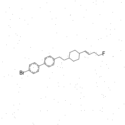 FCCC=CC1CCC(CCc2ccc(-c3ccc(Br)cc3)cc2)CC1